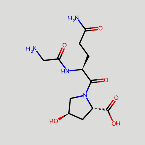 NCC(=O)N[C@@H](CCC(N)=O)C(=O)N1C[C@H](O)C[C@H]1C(=O)O